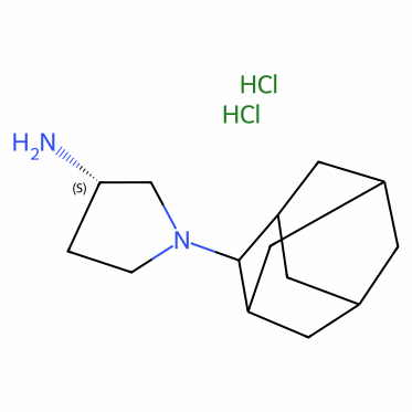 Cl.Cl.N[C@H]1CCN(C2C3CC4CC(C3)CC2C4)C1